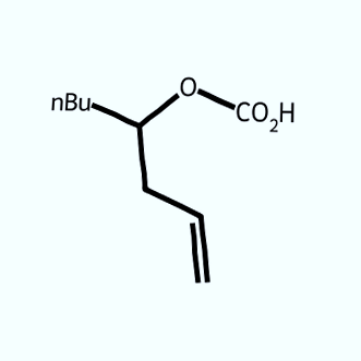 C=CCC(CCCC)OC(=O)O